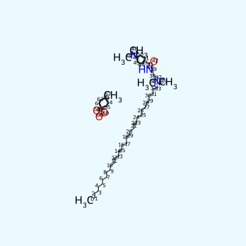 CCCCCCCCCCCCCCCCCCCCCCCCCCCCCCCCCC[N+](C)(C)CCCNC(=O)c1ccc(N(C)C)cc1.Cc1ccc(S(=O)(=O)[O-])cc1